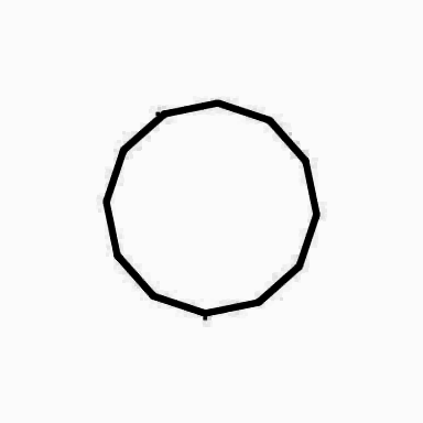 [CH]1CCCC[CH]CCCCCC1